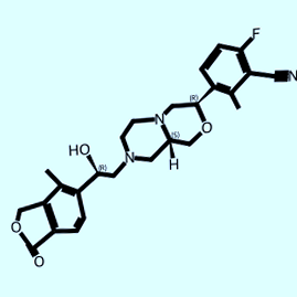 Cc1c([C@@H]2CN3CCN(C[C@H](O)c4ccc5c(c4C)COC5=O)C[C@H]3CO2)ccc(F)c1C#N